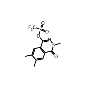 Cc1cc2c(OS(=O)(=O)C(F)(F)F)nn(C)c(=O)c2cc1C